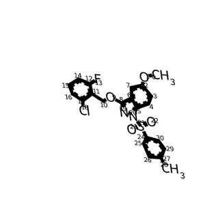 COc1ccc2c(c1)c(OCc1c(F)cccc1Cl)nn2S(=O)(=O)c1ccc(C)cc1